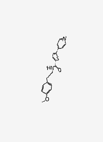 COc1ccc(CCNC(=O)c2ccc(-c3ccncc3)s2)cc1